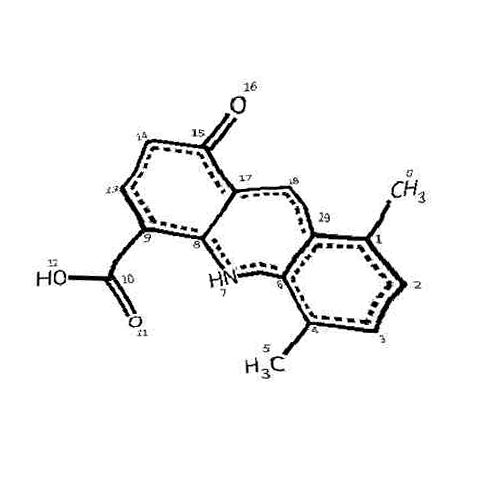 Cc1ccc(C)c2[nH]c3c(C(=O)O)ccc(=O)c-3cc12